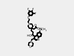 COc1ccc2ncc(CN3CCOCC3)c([C@@H](O)CCC3(CC(=O)O)CCN(CCSc4cc(F)c(F)c(F)c4)CC3)c2c1